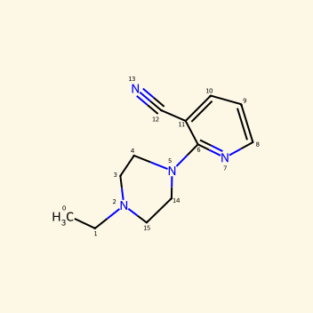 CCN1CCN(c2ncccc2C#N)CC1